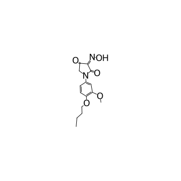 CCCCOc1ccc(N2CC(=O)/C(=N/O)C2=O)cc1OC